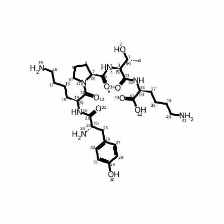 C[C@@H](O)[C@H](NC(=O)[C@@H]1CCCN1C(=O)[C@H](CCCCN)NC(=O)[C@@H](N)Cc1ccc(O)cc1)C(=O)N[C@@H](CCCCN)C(=O)O